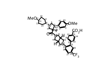 COc1ccc([C@@H]2CN([C@H]3CC[C@H](OC)CC3)C[C@@]2(F)C(=O)N2C[C@@H]3CN(c4ccc(C(F)(F)F)cc4-c4ccc(C(=O)O)cc4)C[C@@H]3C2)cc1